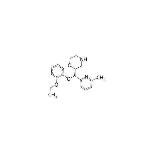 CCOc1ccccc1OC(c1cccc(C)n1)[C@@H]1CNCCO1